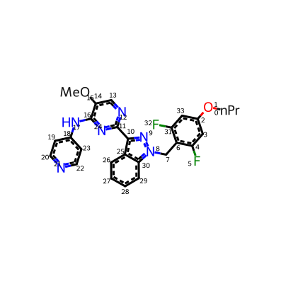 CCCOc1cc(F)c(Cn2nc(-c3ncc(OC)c(Nc4ccncc4)n3)c3ccccc32)c(F)c1